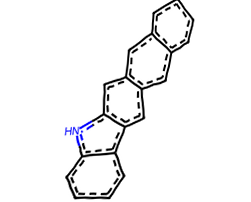 c1ccc2cc3cc4c(cc3cc2c1)[nH]c1ccccc14